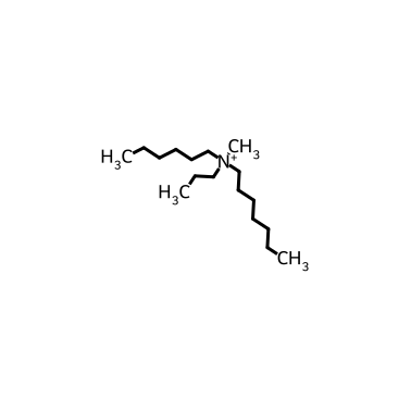 CCCCCCC[N+](C)(CCC)CCCCCC